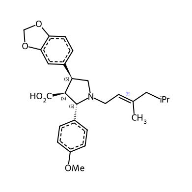 COc1ccc([C@@H]2[C@@H](C(=O)O)[C@@H](c3ccc4c(c3)OCO4)CN2C/C=C(\C)CC(C)C)cc1